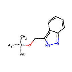 CC(C)(C)[Si](C)(C)OCc1[nH]nc2ccccc12